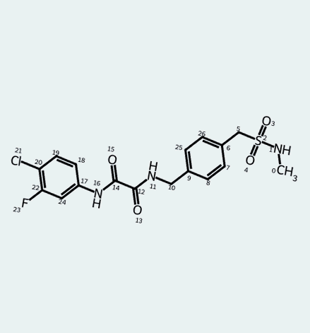 CNS(=O)(=O)Cc1ccc(CNC(=O)C(=O)Nc2ccc(Cl)c(F)c2)cc1